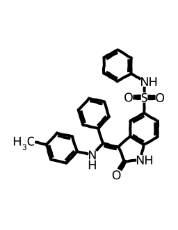 Cc1ccc(N/C(=C2\C(=O)Nc3ccc(S(=O)(=O)Nc4ccccc4)cc32)c2ccccc2)cc1